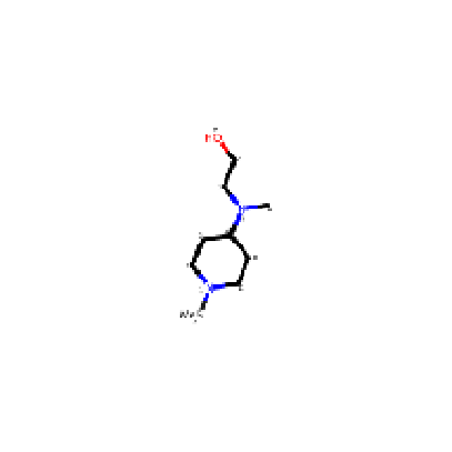 CSN1CCC(N(C)CCO)CC1